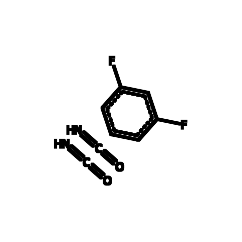 Fc1cccc(F)c1.N=C=O.N=C=O